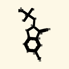 CC(C)(O)CN1Cc2ccc(Br)cc2C1=O